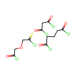 O=C(Cl)CC(=O)Cl.O=C(Cl)CCCC(=O)Cl.O=C(Cl)COCC(=S)Cl